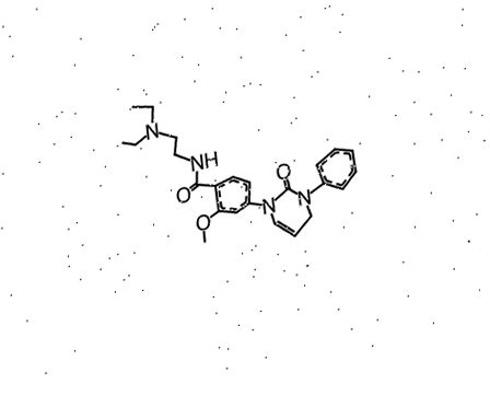 CCN(CC)CCNC(=O)c1ccc(N2C=CCN(c3ccccc3)C2=O)cc1OC